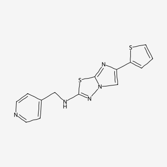 c1csc(-c2cn3nc(NCc4ccncc4)sc3n2)c1